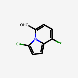 O=Cc1ccc(F)c2ccc(Cl)n12